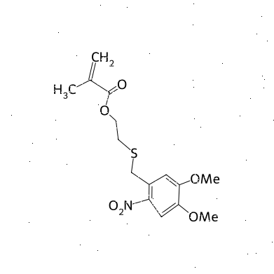 C=C(C)C(=O)OCCSCc1cc(OC)c(OC)cc1[N+](=O)[O-]